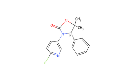 CC1(C)OC(=O)N(c2ccc(F)nc2)[C@H]1c1ccccc1